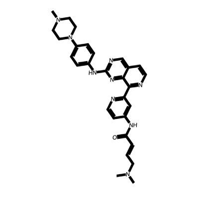 CN(C)CC=CC(=O)Nc1ccnc(-c2nccc3cnc(Nc4ccc(N5CCN(C)CC5)cc4)nc23)c1